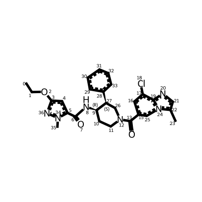 CCOc1cc(C(=O)N[C@@H]2CCN(C(=O)c3cc(Cl)c4ncc(C)n4c3)C[C@@H]2c2ccccc2)n(C)n1